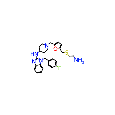 NCCSCc1ccc(CN2CCC(Nc3nc4ccccc4n3Cc3ccc(F)cc3)CC2)o1